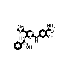 Cc1cc(Nc2ncc(-c3ncn[nH]3)c(N[C@H](CO)c3ccccc3)n2)ccc1C(N)=O